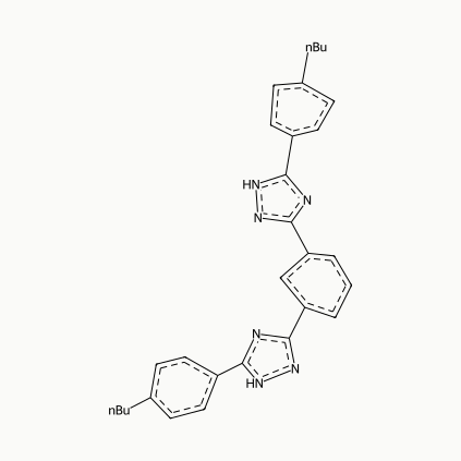 CCCCc1ccc(-c2nc(-c3cccc(-c4n[nH]c(-c5ccc(CCCC)cc5)n4)c3)n[nH]2)cc1